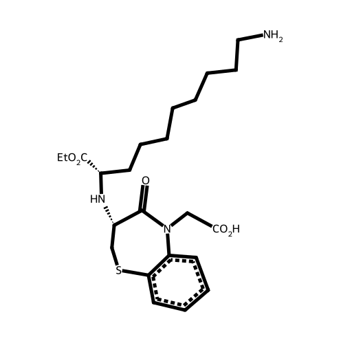 CCOC(=O)[C@H](CCCCCCCCN)N[C@H]1CSc2ccccc2N(CC(=O)O)C1=O